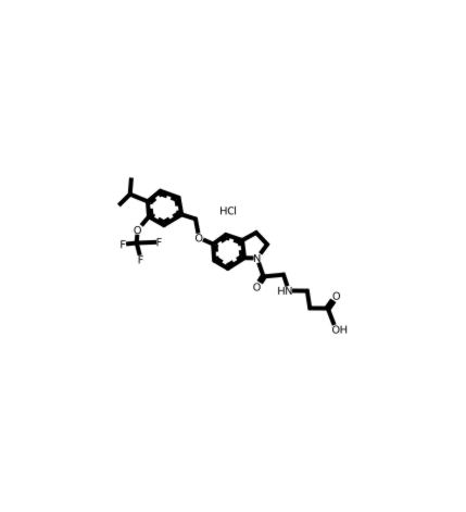 CC(C)c1ccc(COc2ccc3c(c2)CCN3C(=O)CNCCC(=O)O)cc1OC(F)(F)F.Cl